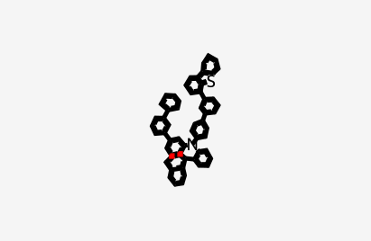 c1ccc(-c2cccc(-c3cccc(N(c4ccc(-c5cccc(-c6cccc7c6sc6ccccc67)c5)cc4)c4ccccc4-c4cccc5ccccc45)c3)c2)cc1